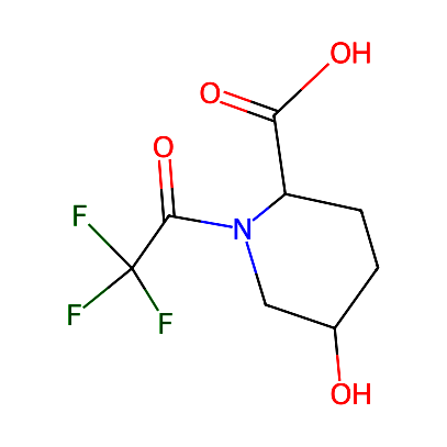 O=C(O)C1CCC(O)CN1C(=O)C(F)(F)F